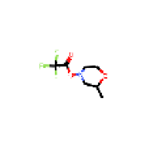 CC1CN(OC(=O)C(F)(F)F)CCO1